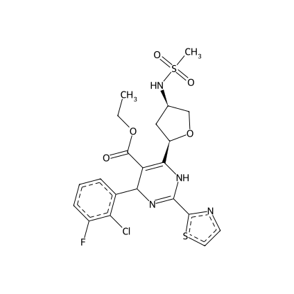 CCOC(=O)C1=C([C@H]2C[C@@H](NS(C)(=O)=O)CO2)NC(c2nccs2)=NC1c1cccc(F)c1Cl